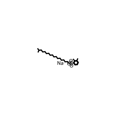 Cc1cccc(S(=O)(=O)OCCCCCCCCCCCCCCCC(C)C)c1C.[Na]